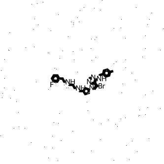 Cc1ccc(CNc2ncnc3c2c(Br)cn3C2CCC(CNCCCNCCc3cccc(F)c3)C2)cc1